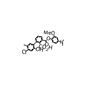 COc1cc(N(C)C)ccc1OC(=O)c1cccc(-c2cc(C)c(Cl)cc2O)c1C(=O)O